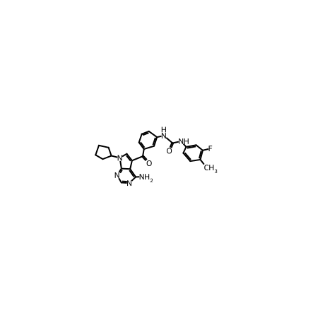 Cc1ccc(NC(=O)Nc2cccc(C(=O)c3cn(C4CCCC4)c4ncnc(N)c34)c2)cc1F